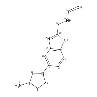 NC1CCN(c2ccc3sc(CNC=O)nc3c2)C1